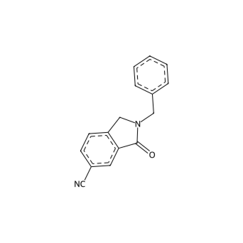 N#Cc1ccc2c(c1)C(=O)N(Cc1ccccc1)C2